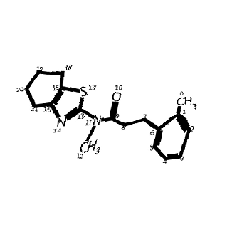 Cc1ccccc1CCC(=O)N(C)c1nc2c(s1)CCCC2